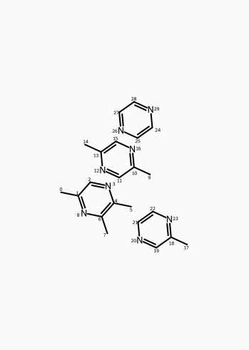 Cc1cnc(C)c(C)n1.Cc1cnc(C)cn1.Cc1cnccn1.c1cnccn1